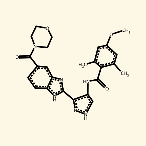 COc1cc(C)c(C(=O)Nc2c[nH]nc2-c2nc3cc(C(=O)N4CCOCC4)ccc3[nH]2)c(C)c1